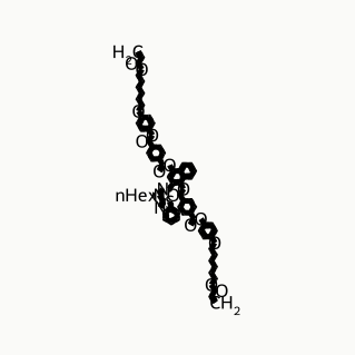 C=CC(=O)OCCCCCCOc1ccc(OC(=O)C2CCC(C(=O)Oc3cc(/C=N/N(CCCCCC)c4nc5ccccc5s4)c(OC(=O)C4CCC(C(=O)Oc5ccc(OCCCCCCOC(=O)C=C)cc5)CC4)c4ccccc34)CC2)cc1